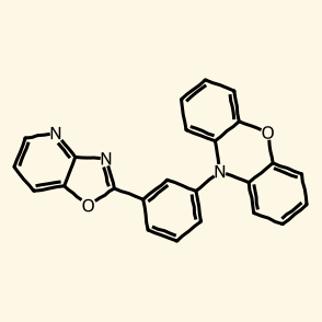 c1cc(-c2nc3ncccc3o2)cc(N2c3ccccc3Oc3ccccc32)c1